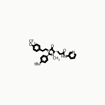 CN1[C@@H](CCC(=O)Nc2cccnc2)C(=O)N(CCc2ccc(OC(F)(F)F)cc2)[C@@H]1c1ccc(C(C)(C)C)cc1